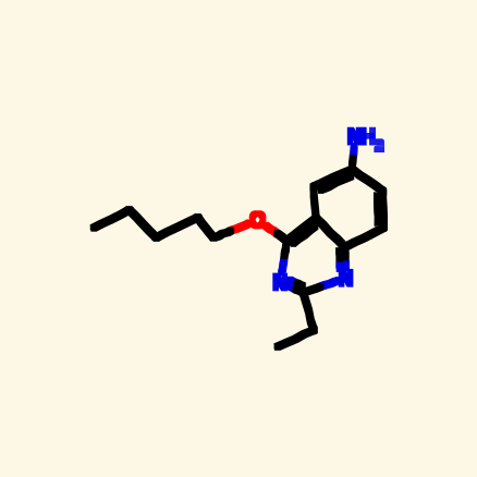 CCCCCOc1nc(CC)nc2ccc(N)cc12